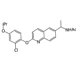 CC(=O)NC(C)c1ccc2nc(Oc3ccc(OC(C)C)cc3Cl)ccc2c1